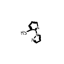 Sc1cccnc1-n1cccn1